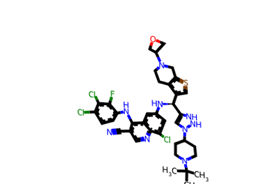 CC(C)(C)N1CCC(N2C=C([C@@H](Nc3cc(Cl)c4ncc(C#N)c(Nc5ccc(Cl)c(Cl)c5F)c4c3)c3csc4c3CCN(C3COC3)C4)NN2)CC1